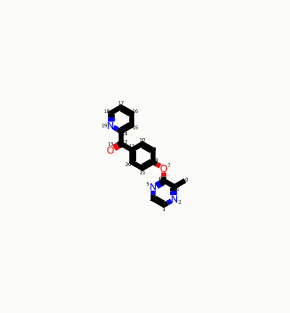 Cc1nccnc1Oc1ccc(C(=O)c2ccccn2)cc1